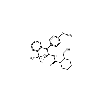 COc1ccc(N(c2ccccc2[Si](C)(C)C)C(C)NC(=O)N2CCCCC2CO)cc1